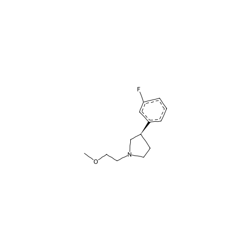 COCCN1CC[C@H](c2cccc(F)c2)C1